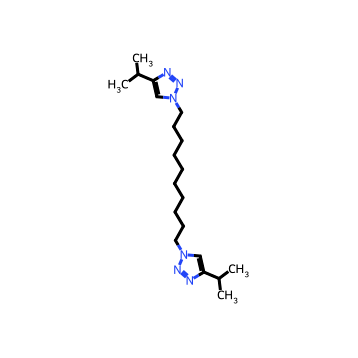 CC(C)c1cn(CCCCCCCCCCn2cc(C(C)C)nn2)nn1